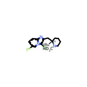 CC(C)(C)[C@@]1(Cc2nc3ccc(F)cn3c2Cl)CCCCN1C(=O)O